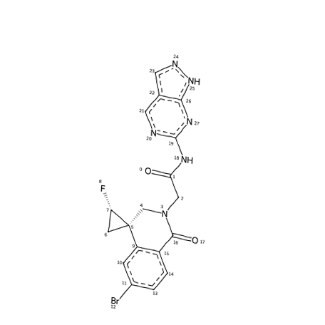 O=C(CN1C[C@@]2(C[C@@H]2F)c2cc(Br)ccc2C1=O)Nc1ncc2cn[nH]c2n1